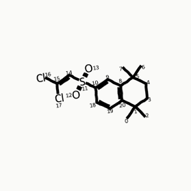 CC1(C)CCC(C)(C)c2cc(S(=O)(=O)C=C(Cl)Cl)ccc21